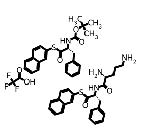 CC(C)(C)OC(=O)N[C@H](Cc1ccccc1)C(=O)Sc1ccc2ccccc2c1.NCCC[C@@H](N)C(=O)N[C@H](Cc1ccccc1)C(=O)Sc1ccc2ccccc2c1.O=C(O)C(F)(F)F